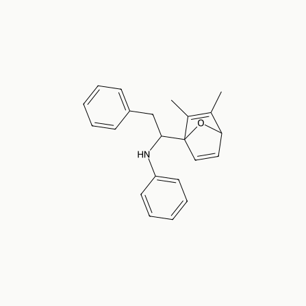 CC1=C(C)C2(C(Cc3ccccc3)Nc3ccccc3)C=CC1O2